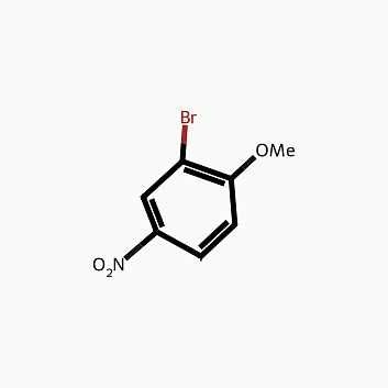 COc1c[c]c([N+](=O)[O-])cc1Br